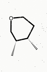 C[C@@H]1COCC[C@@H]1C